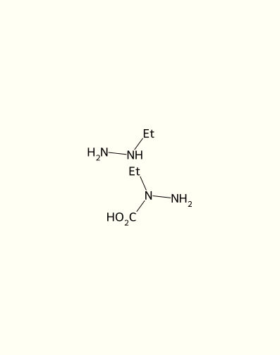 CCN(N)C(=O)O.CCNN